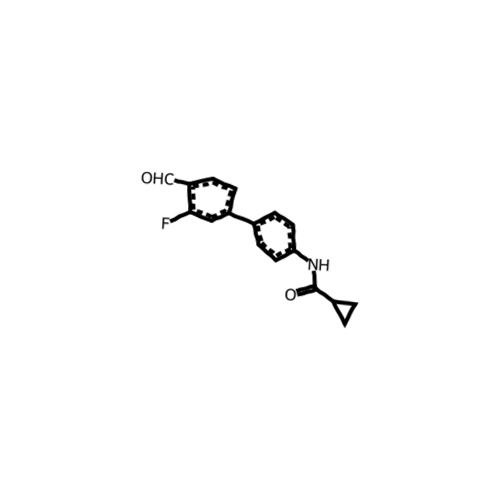 O=Cc1ccc(-c2ccc(NC(=O)C3CC3)cc2)cc1F